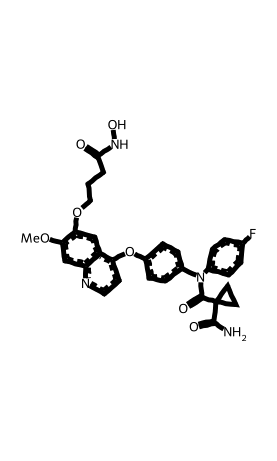 COc1cc2nccc(Oc3ccc(N(C(=O)C4(C(N)=O)CC4)c4ccc(F)cc4)cc3)c2cc1OCCCC(=O)NO